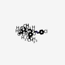 CC(C)[C@H](NC(=O)CC(NC(=O)/C=C/c1ccc(Cl)cc1)c1ccc(C(C)(C)C)cc1)C(=O)[C@@H]1C(=O)NC(=O)[C@H]1C